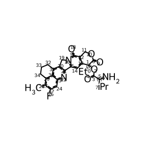 CC[C@@]1(OC(=O)[C@@H](N)C(C)C)C(=O)OCc2c1cc1n(c2=O)Cc2c-1nc1cc(F)c(C)c3c1c2CCC3